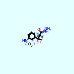 CC(O)(c1cccc(NC(=O)O)c1)C(F)(F)C(=O)NN